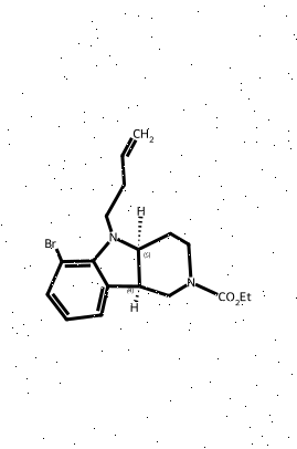 C=CCCN1c2c(Br)cccc2[C@@H]2CN(C(=O)OCC)CC[C@@H]21